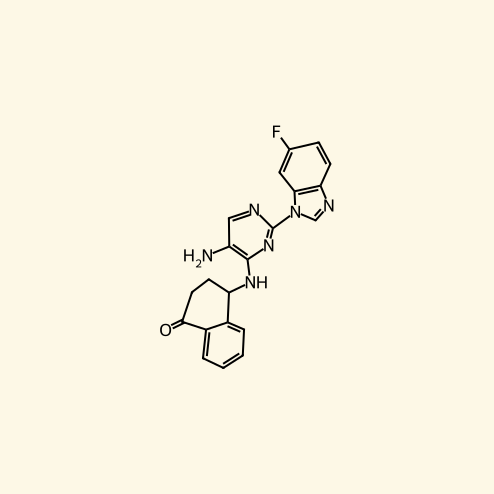 Nc1cnc(-n2cnc3ccc(F)cc32)nc1NC1CCC(=O)c2ccccc21